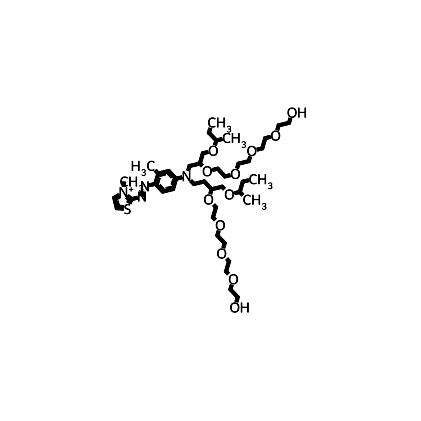 CCC(C)OCC(CCN(CC(COC(C)CC)OCCOCCOCCOCCO)c1ccc(/N=N/c2scc[n+]2C)c(C)c1)OCCOCCOCCOCCO